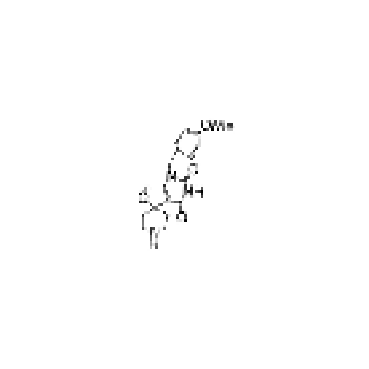 COc1ccc(Cn2c3c(c(=O)[nH]c2=O)C2(CCNCC2)OC3)cc1